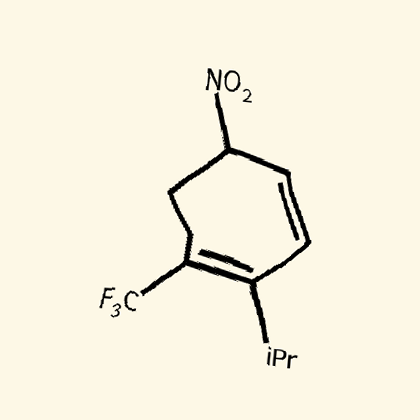 CC(C)C1=C(C(F)(F)F)CC([N+](=O)[O-])C=C1